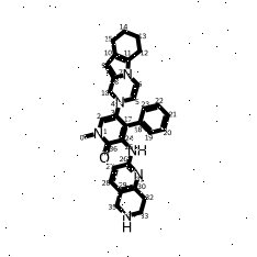 Cn1cc(N2C=Cn3c(cc4c3CCCC4)C2)c(-c2ccccc2)c(Nc2ccc3c(n2)CCNC3)c1=O